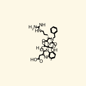 CC(=O)[C@](C(=O)O)(N1C(=O)[C@H](CCCNC(=N)N)N(Cc2ccccc2)C1=O)N(C(=O)[C@@H](N)CC(=O)O)c1ccccc1